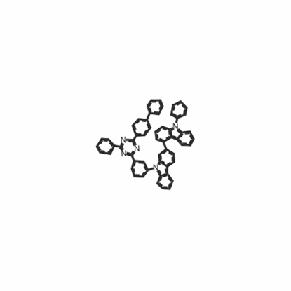 c1ccc(-c2ccc(-c3nc(-c4ccccc4)nc(-c4cccc(-n5c6ccccc6c6ccc(-c7cccc8c7c7ccccc7n8-c7ccccc7)cc65)c4)n3)cc2)cc1